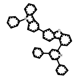 c1ccc(-c2cc(-c3ccccc3)nc(-c3cccc4oc5cc(-c6ccc7c(c6)c6ccccc6n7-c6ccccc6)ccc5c34)c2)cc1